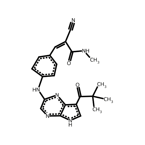 CNC(=O)C(C#N)=Cc1ccc(Nc2cnc3[nH]cc(C(=O)C(C)(C)C)c3n2)cc1